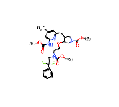 Cc1cc(CC2CN(C(=O)OC(C)(C)C)CC2OCCN(CC(F)(F)c2ccccc2)C(=O)OC(C)(C)C)nc(NC(=O)OC(C)(C)C)c1